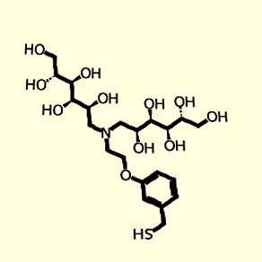 OC[C@@H](O)[C@@H](O)[C@H](O)[C@@H](O)CN(CCOc1cccc(CS)c1)C[C@H](O)[C@@H](O)[C@H](O)[C@H](O)CO